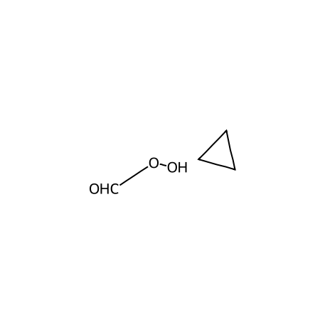 C1CC1.O=COO